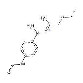 CCOC/C(N)=C/N(N)c1ccc(NC=O)cc1